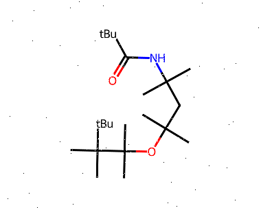 CC(C)(CC(C)(C)OC(C)(C)C(C)(C)C(C)(C)C)NC(=O)C(C)(C)C